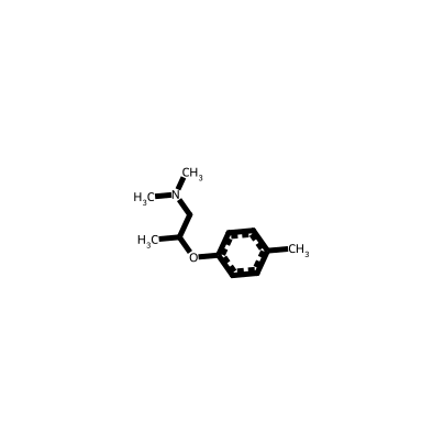 Cc1ccc(OC(C)CN(C)C)cc1